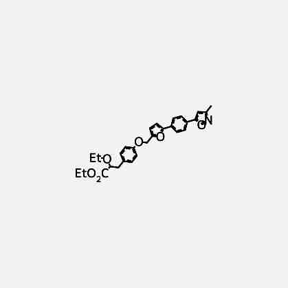 CCOC(=O)C(Cc1ccc(OCc2ccc(-c3ccc(-c4cc(C)no4)cc3)o2)cc1)OCC